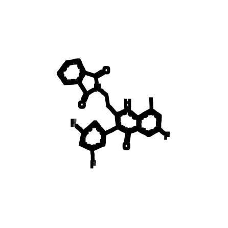 Cc1cc(F)cc2c(=O)c(-c3cc(F)cc(F)c3)c(CCN3C(=O)c4ccccc4C3=O)[nH]c12